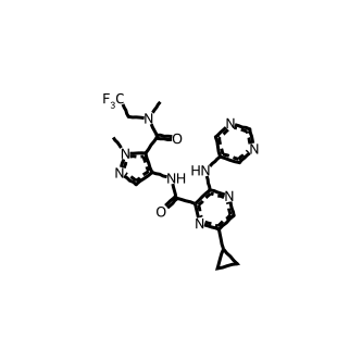 CN(CC(F)(F)F)C(=O)c1c(NC(=O)c2nc(C3CC3)cnc2Nc2cncnc2)cnn1C